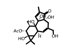 CC(=O)O[C@@H]1[C@@H](C)[C@@]2(O)[C@@H](C=C(CO)C[C@]3(O)C(=O)C(C)=C[C@]23O)C2C(C)(C)[C@@]21O